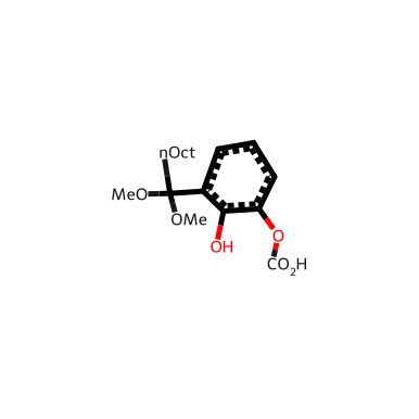 CCCCCCCCC(OC)(OC)c1cccc(OC(=O)O)c1O